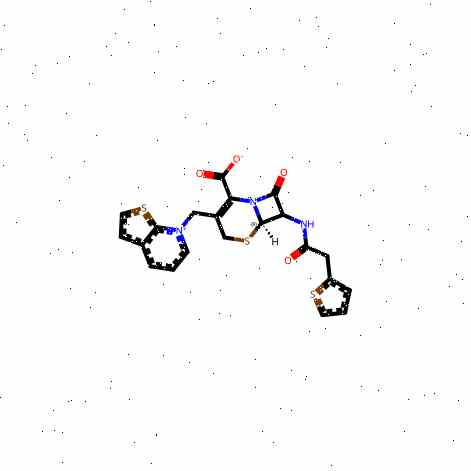 O=C(Cc1cccs1)NC1C(=O)N2C(C(=O)[O-])=C(C[n+]3cccc4ccsc43)CS[C@H]12